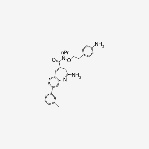 CCCN(OCCc1ccc(N)cc1)C(=O)C1=Cc2ccc(-c3cccc(C)c3)cc2N=C(N)C1